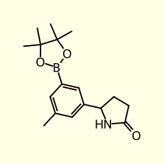 Cc1cc(B2OC(C)(C)C(C)(C)O2)cc(C2CCC(=O)N2)c1